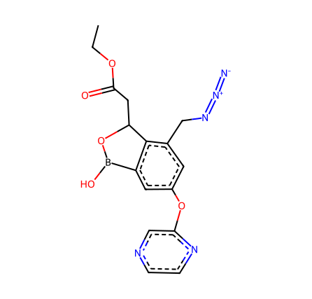 CCOC(=O)CC1OB(O)c2cc(Oc3cnccn3)cc(CN=[N+]=[N-])c21